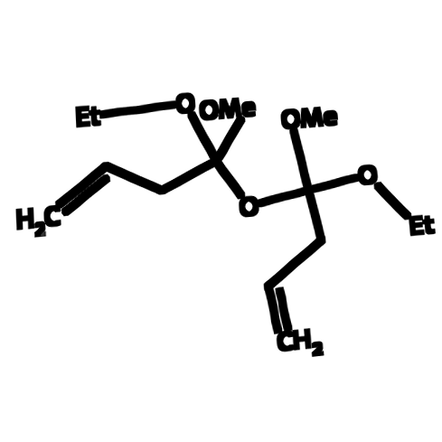 C=CCC(OC)(OCC)OC(CC=C)(OC)OCC